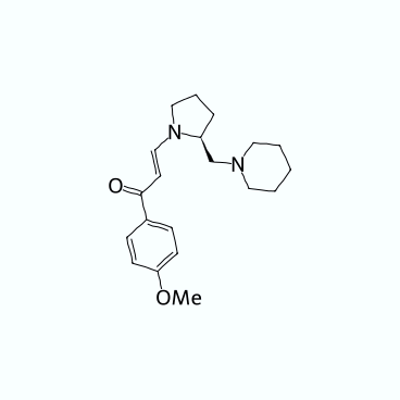 COc1ccc(C(=O)/C=C/N2CCC[C@H]2CN2CCCCC2)cc1